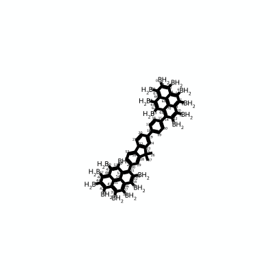 Bc1c(B)c2c(B)c(B)c3c(B)c(B)c(-c4ccc(-c5ccc6c(c5)C(C)(C)c5cc(-c7c(B)c(B)c8c(B)c(B)c9c(B)c(B)c(B)c%10c(B)c(B)c7c8c9%10)ccc5-6)cc4)c4c(B)c(B)c(c1B)c2c34